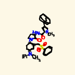 CC(C)N(C)[C@@H]1CC[C@H](N2CC[C@H](NC(=O)c3cc(C45CC6CC(CC(C6)C4)C5)cn3C)C2=O)[C@@H](CS(=O)(=O)c2ccccc2)C1